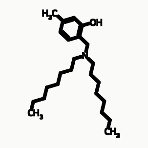 CCCCCCCCN(CCCCCCCC)Cc1ccc(C)cc1O